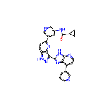 O=C(Nc1cncc(-c2ccc3[nH]nc(-c4nc5c(-c6cccnc6)ccnc5[nH]4)c3n2)c1)C1CC1